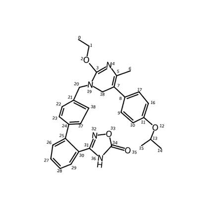 CCOC1=NC(C)=C(c2ccc(OC(C)C)cc2)CN1Cc1ccc(-c2ccccc2-c2noc(=O)[nH]2)cc1